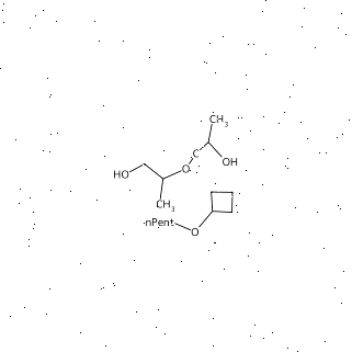 CC(O)COC(C)CO.CCCCCOC1CCC1